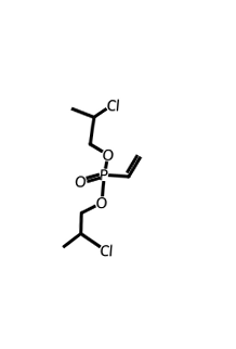 C=CP(=O)(OCC(C)Cl)OCC(C)Cl